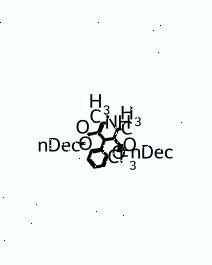 CCCCCCCCCCOC(=O)C1=C(C)NC(C)C(C(=O)OCCCCCCCCCC)C1c1ccccc1C(F)(F)F